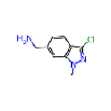 Cn1nc(Cl)c2ccc(CN)cc21